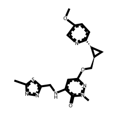 COc1ccc([C@@H]2C[C@H]2COc2cc(NCc3nnc(C)s3)c(=O)n(C)n2)nc1